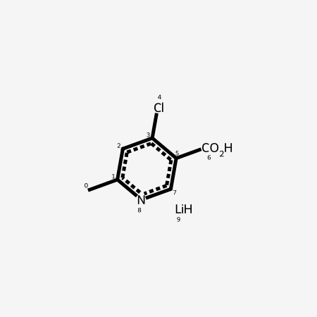 Cc1cc(Cl)c(C(=O)O)cn1.[LiH]